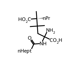 CCCCCCCC(=O)NC(N)(CC(C)(C)[C@@](C)(CCC)C(=O)O)C(=O)O